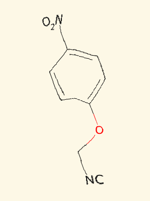 [C-]#[N+]COc1ccc([N+](=O)[O-])cc1